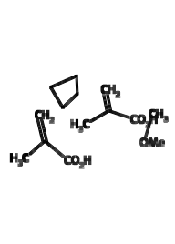 C1CCC1.C=C(C)C(=O)O.C=C(C)C(=O)O.COC